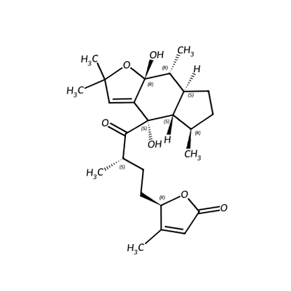 CC1=CC(=O)O[C@@H]1CC[C@H](C)C(=O)[C@@]1(O)C2=CC(C)(C)O[C@]2(O)[C@H](C)[C@H]2CC[C@@H](C)[C@@H]21